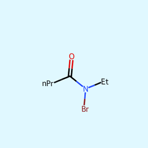 CCCC(=O)N(Br)CC